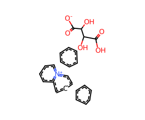 O=C([O-])C(O)C(O)C(=O)O.c1cc[n+]2ccccc2c1.c1ccccc1.c1ccccc1